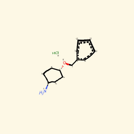 Cl.N[C@H]1CC[C@H](OCc2ccccc2)CC1